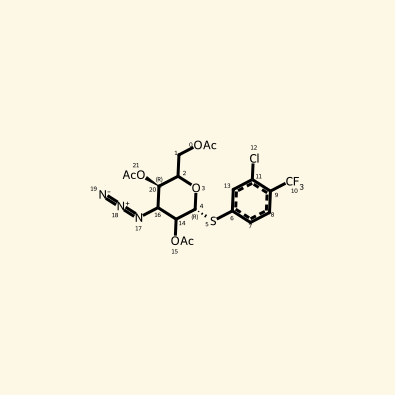 CC(=O)OCC1O[C@H](Sc2ccc(C(F)(F)F)c(Cl)c2)C(OC(C)=O)C(N=[N+]=[N-])[C@H]1OC(C)=O